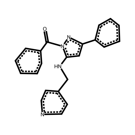 O=C(c1ccccc1)n1nc(-c2ccccc2)cc1NCc1ccncc1